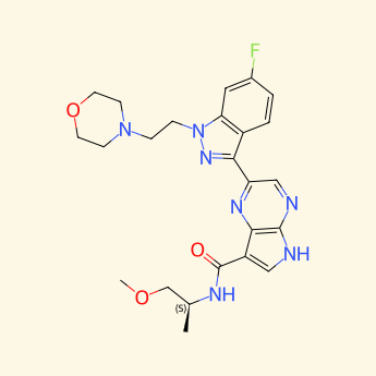 COC[C@H](C)NC(=O)c1c[nH]c2ncc(-c3nn(CCN4CCOCC4)c4cc(F)ccc34)nc12